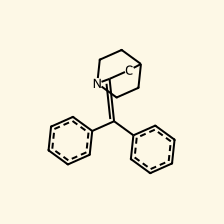 c1ccc(C(=C2CC3CCN2CC3)c2ccccc2)cc1